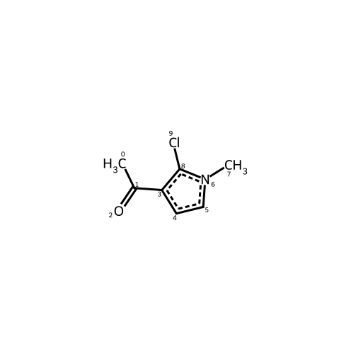 CC(=O)c1ccn(C)c1Cl